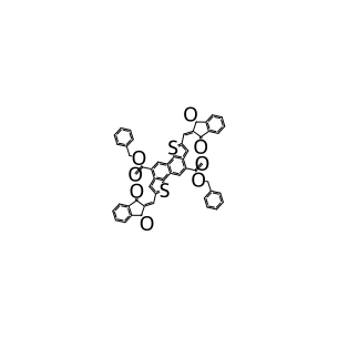 O=C1C(=Cc2cc3c(C(=O)OCc4ccccc4)cc4c(cc(C(=O)OCc5ccccc5)c5cc(C=C6C(=O)c7ccccc7C6=O)sc54)c3s2)C(=O)c2ccccc21